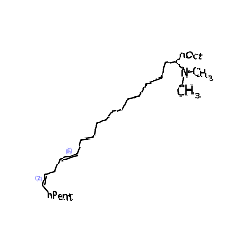 CCCCC/C=C\C/C=C/CCCCCCCCCCCC(CCCCCCCC)N(C)C